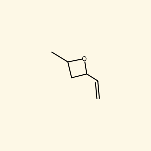 C=C[C]1CC(C)O1